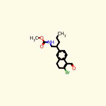 CCCC(CNC(=O)OC)c1ccc2c(c1)CCC(Br)=C2C=O